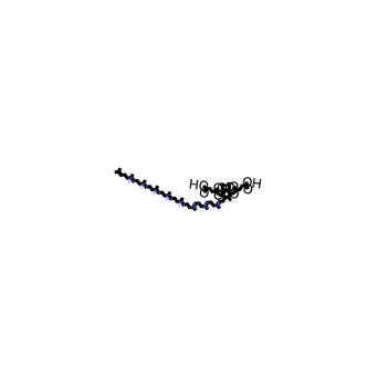 COc1c(OC(=O)CCC(=O)O)c(C)c(C/C=C(\C)CC/C=C(\C)CC/C=C(\C)CC/C=C(\C)CC/C=C(\C)CC/C=C(\C)CC/C=C(\C)CC/C=C(\C)CCC=C(C)C)c(OC(=O)CCC(=O)O)c1OC